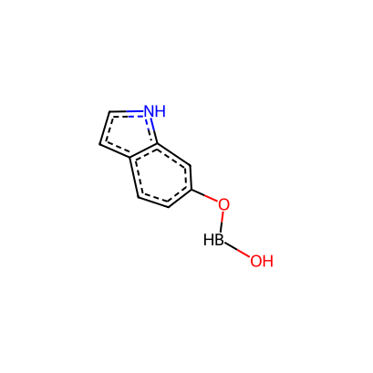 OBOc1ccc2cc[nH]c2c1